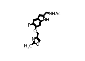 CC(=O)NCc1cc2cc(F)c(OCc3coc(C)n3)cc2[nH]1